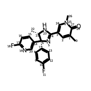 Cc1cc(C2=N[C@@](c3ccc(F)cc3)(c3ccc(F)nc3)[C@H](C)N2)cn(C)c1=O